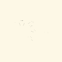 COC(=O)NCC(=O)N1CC(SC)CC1c1nc(-c2ccc(Br)cc2)c[nH]1